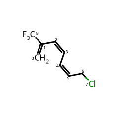 C=C(/C=C\C=C/CCl)C(F)(F)F